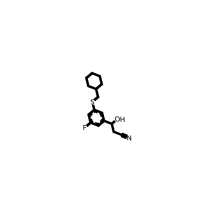 N#CCC(O)c1cc(F)cc(SCC2CCCCC2)c1